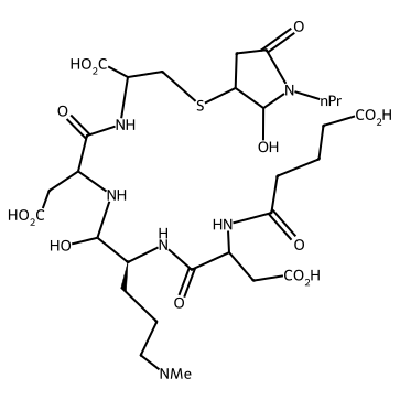 CCCN1C(=O)CC(SCC(NC(=O)C(CC(=O)O)NC(O)[C@H](CCCNC)NC(=O)C(CC(=O)O)NC(=O)CCCC(=O)O)C(=O)O)C1O